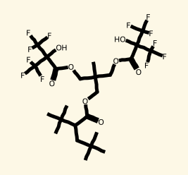 CC(C)(C)CC(C(=O)OCC(C)(COC(=O)C(O)(C(F)(F)F)C(F)(F)F)COC(=O)C(O)(C(F)(F)F)C(F)(F)F)C(C)(C)C